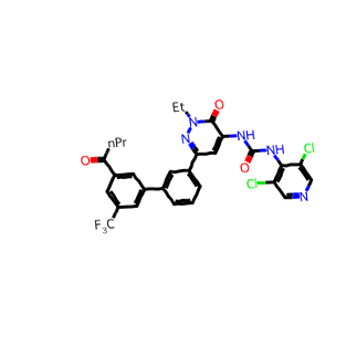 CCCC(=O)c1cc(-c2cccc(-c3cc(NC(=O)Nc4c(Cl)cncc4Cl)c(=O)n(CC)n3)c2)cc(C(F)(F)F)c1